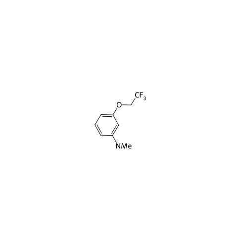 CNc1cccc(OCC(F)(F)F)c1